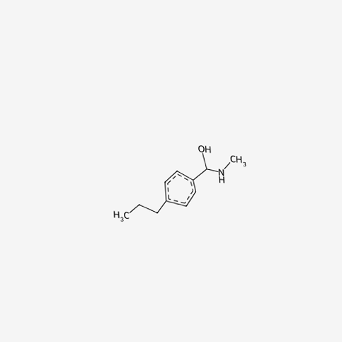 CCCc1ccc(C(O)NC)cc1